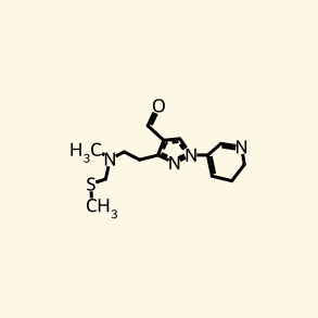 CSCN(C)CCc1nn(C2=CCCN=C2)cc1C=O